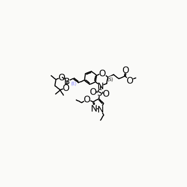 CCOc1nn(CC)cc1S(=O)(=O)N1C[C@H](CCC(=O)OC)Oc2ccc(/C=C/B3OC(C)CC(C)(C)O3)cc21